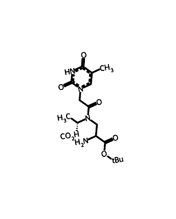 Cc1cn(CC(=O)N(CC(N)C(=O)OC(C)(C)C)[C@@H](C)C(=O)O)c(=O)[nH]c1=O